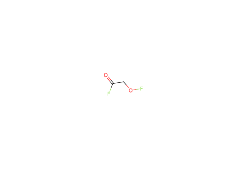 O=C(F)COF